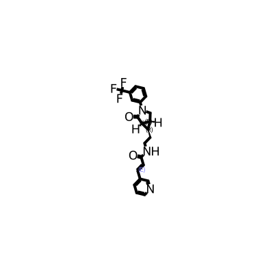 O=C(/C=C/c1cccnc1)NCC[C@@H]1[C@H]2CN(c3cccc(C(F)(F)F)c3)C(=O)[C@@H]12